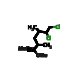 CO[SiH](OC)C(C)CC(C)C(Cl)CCl